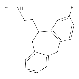 CNCCC1Cc2ccccc2Cc2ccc(F)cc21